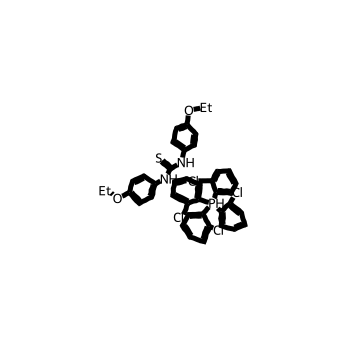 CCOc1ccc(NC(=S)Nc2ccc(OCC)cc2)cc1.Clc1ccccc1[PH](c1ccccc1Cl)(c1ccccc1Cl)c1ccccc1Cl